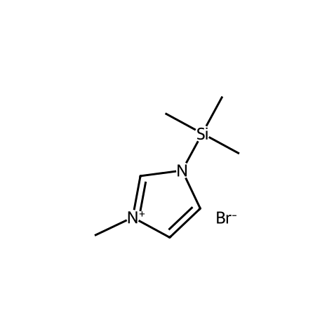 C[n+]1ccn([Si](C)(C)C)c1.[Br-]